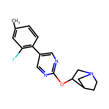 Cc1ccc(-c2cnc(OC3CN4CCC3C4)nc2)c(F)c1